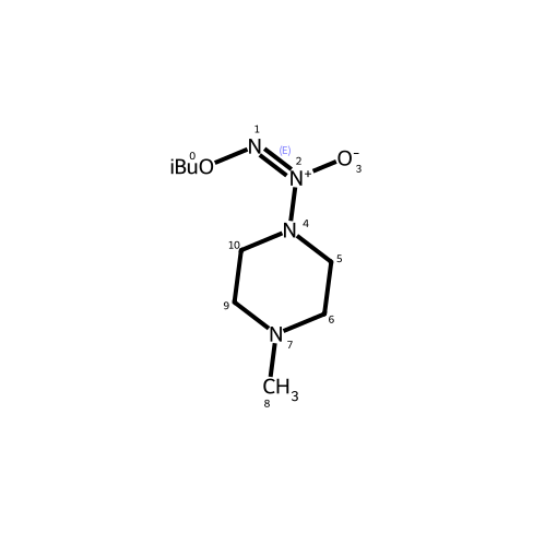 CC(C)CO/N=[N+](/[O-])N1CCN(C)CC1